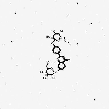 O=c1cc(-c2ccc(OC3O[C@H](CO)[C@@H](O)[C@H](O)[C@H]3O)cc2)oc2cc(OC3O[C@H](CO)[C@@H](O)[C@H](O)[C@H]3O)ccc12